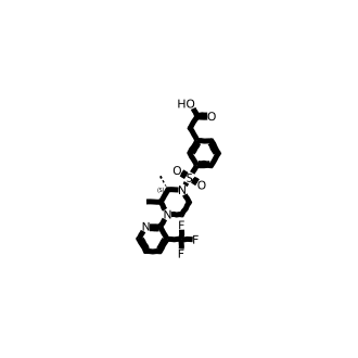 CC1[C@H](C)N(S(=O)(=O)c2cccc(CC(=O)O)c2)CCN1c1ncccc1C(F)(F)F